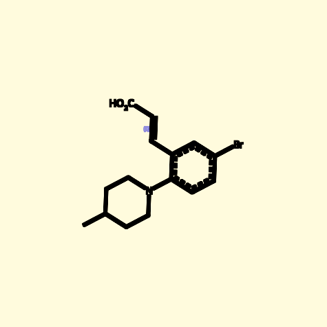 CC1CCN(c2ccc(Br)cc2/C=C/C(=O)O)CC1